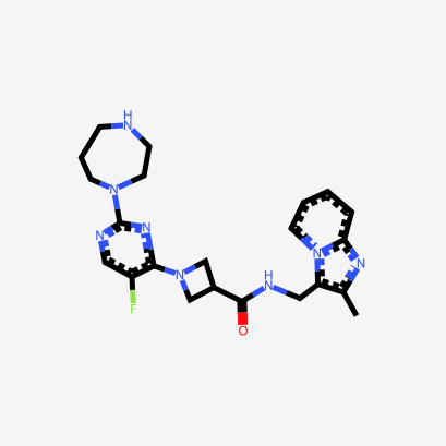 Cc1nc2ccccn2c1CNC(=O)C1CN(c2nc(N3CCCNCC3)ncc2F)C1